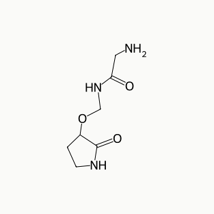 NCC(=O)NCOC1CCNC1=O